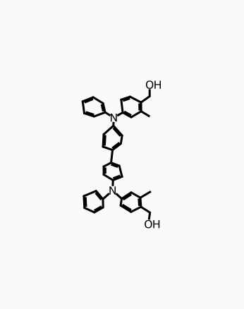 Cc1cc(N(c2ccccc2)c2ccc(-c3ccc(N(c4ccccc4)c4ccc(CO)c(C)c4)cc3)cc2)ccc1CO